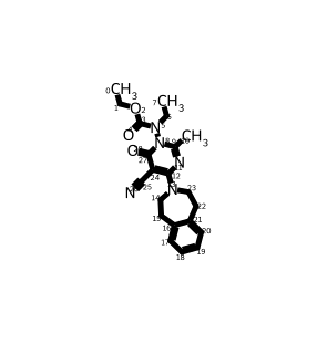 CCOC(=O)N(CC)n1c(C)nc(N2CCc3ccccc3CC2)c(C#N)c1=O